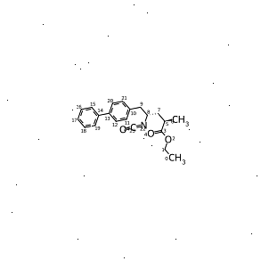 CCOC(=O)[C@H](C)C[C@@H](Cc1ccc(-c2ccccc2)cc1)N=C=O